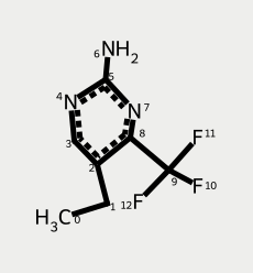 CCc1cnc(N)nc1C(F)(F)F